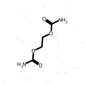 NC(=O)OCCOC(N)=O